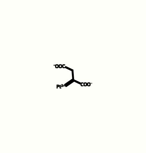 C=C(CC(=O)[O-])C(=O)[O-].[Pt+2]